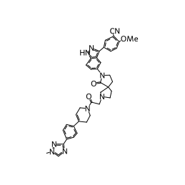 COc1ccc(-c2n[nH]c3ccc(N4CCC5(CCN(CC(=O)N6CC=C(c7ccc(-c8ncn(C)n8)cc7)CC6)C5)C4=O)cc23)cc1C#N